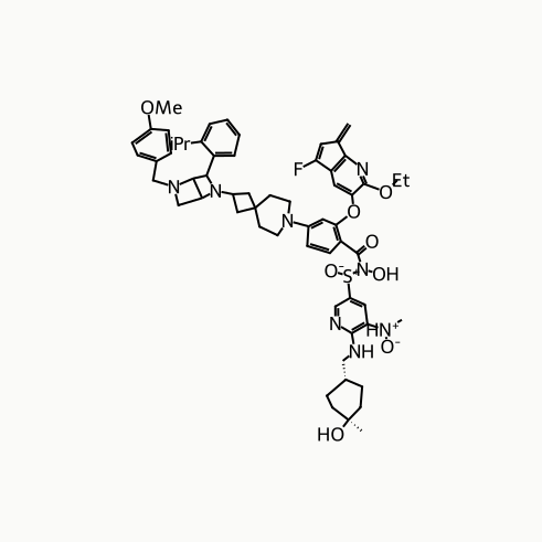 C=C1C=C(F)c2cc(Oc3cc(N4CCC5(CC4)CC(N4C6CN(Cc7ccc(OC)cc7)C6C4c4ccccc4C(C)C)C5)ccc3C(=O)N(O)[S+]([O-])c3cnc(NC[C@H]4CC[C@](C)(O)CC4)c([NH+](C)[O-])c3)c(OCC)nc21